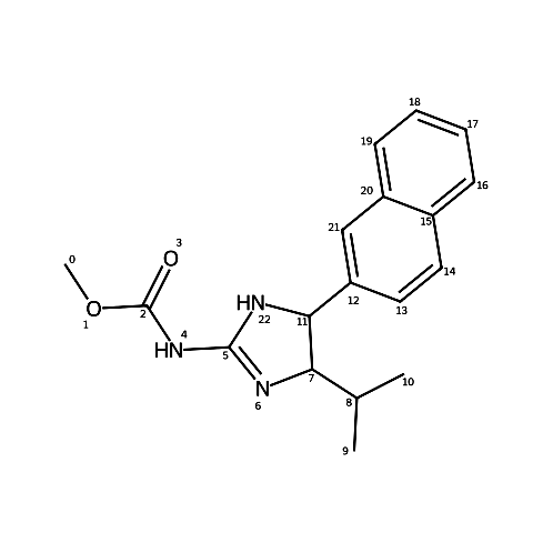 COC(=O)NC1=NC(C(C)C)C(c2ccc3ccccc3c2)N1